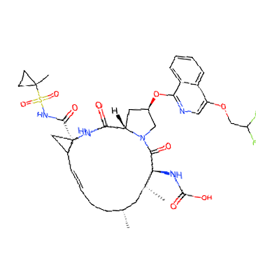 C[C@@H]1CC/C=C\C2C[C@@]2(C(=O)NS(=O)(=O)C2(C)CC2)NC(=O)[C@@H]2C[C@@H](Oc3ncc(OCC(F)F)c4ccccc34)CN2C(=O)[C@@H](NC(=O)O)[C@H](C)C1